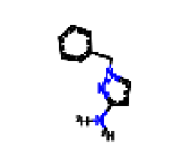 [2H]N([2H])c1ccn(Cc2ccccc2)n1